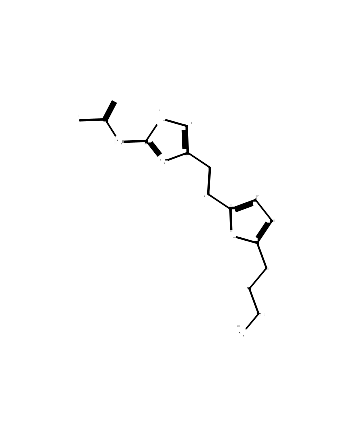 CC(=O)Nc1nc(CCc2ccc(CCCN)s2)cs1